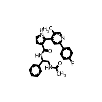 CC(=O)NCC(NC(=O)c1cc[nH]c1-c1cc(-c2ccc(F)cc2)ncc1C)c1ccccc1